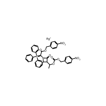 CC(OC(=O)OCc1ccc([N+](=O)[O-])cc1)C1C(=O)N(C(C(=O)OCc2ccc([N+](=O)[O-])cc2)=P(c2ccccc2)(c2ccccc2)c2ccccc2)C1[S-].[Ag+]